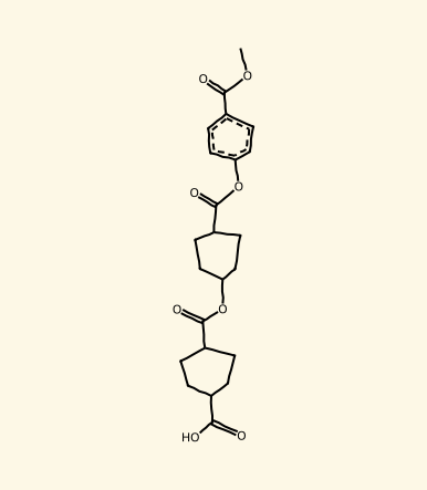 COC(=O)c1ccc(OC(=O)C2CCC(OC(=O)C3CCC(C(=O)O)CC3)CC2)cc1